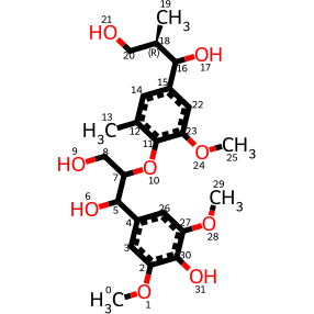 COc1cc(C(O)C(CO)Oc2c(C)cc(C(O)[C@H](C)CO)cc2OC)cc(OC)c1O